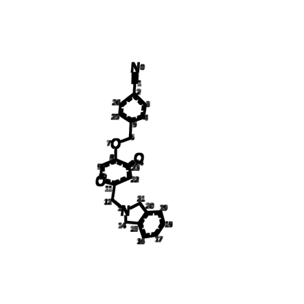 N#Cc1ccc(COc2coc(CN3Cc4ccccc4C3)cc2=O)cc1